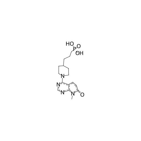 Cn1c(=O)ccc2c(N3CCC(CCCP(=O)(O)O)CC3)ncnc21